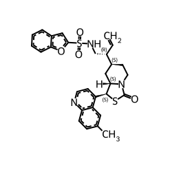 C=C[C@@H](CNS(=O)(=O)c1cc2ccccc2o1)[C@H]1CCN2C(=O)S[C@@H](c3ccnc4ccc(C)cc34)[C@@H]2C1